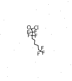 O=C(Cl)C(F)(F)C(F)(F)CCCCCC(F)(F)F